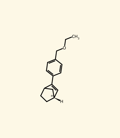 CCOCc1ccc(C2=C[C@@H]3CCC2C3)cc1